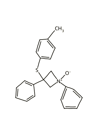 Cc1ccc(SC2(c3ccccc3)C[N+]([O-])(c3ccccc3)C2)cc1